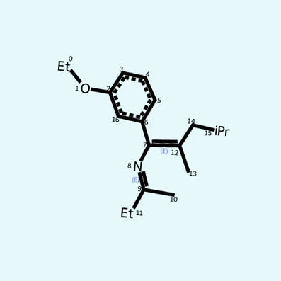 CCOc1cccc(C(/N=C(\C)CC)=C(/C)CC(C)C)c1